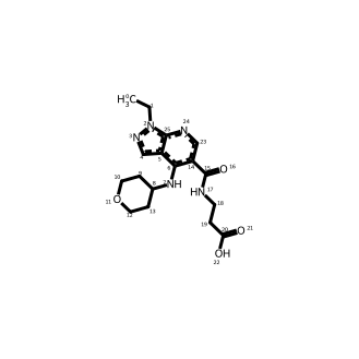 CCn1ncc2c(NC3CCOCC3)c(C(=O)NCCC(=O)O)cnc21